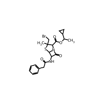 CC(OC(=O)C1N2C(=O)C(NC(=O)Cc3ccccc3)C2SC1(C)CBr)C1CC1